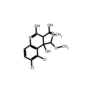 COC(OC)C1(O)c2c(ccc(Cl)c2Cl)N=C(O)C1C(=O)O